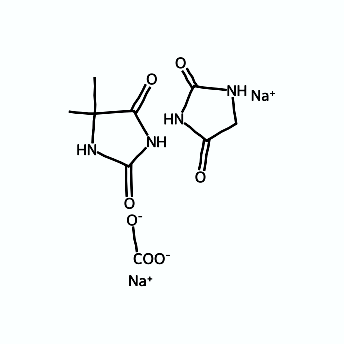 CC1(C)NC(=O)NC1=O.O=C([O-])[O-].O=C1CNC(=O)N1.[Na+].[Na+]